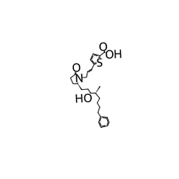 C[C@@H](CCCCc1ccccc1)[C@H](O)CC[C@H]1CCC(=O)N1CC=Cc1ccc(C(=O)O)s1